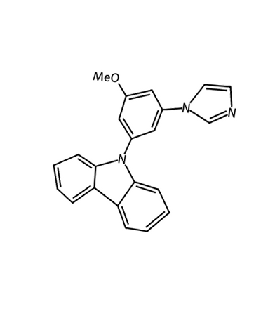 COc1cc(-n2ccnc2)cc(-n2c3ccccc3c3ccccc32)c1